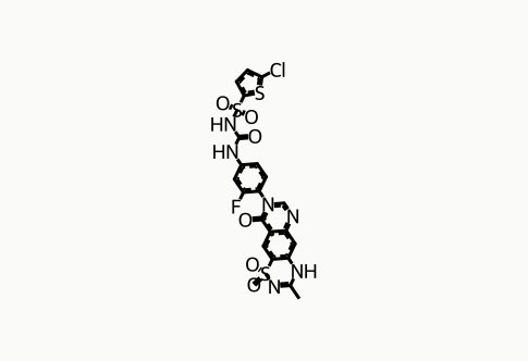 CC1=NS(=O)(=O)c2cc3c(=O)n(-c4ccc(NC(=O)NS(=O)(=O)c5ccc(Cl)s5)cc4F)cnc3cc2N1